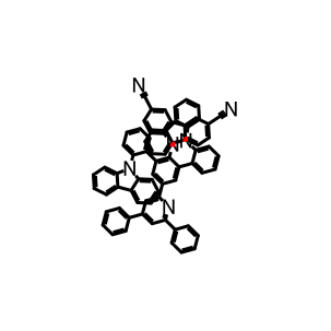 N#Cc1ccc2c(c1)c1cc(C#N)ccc1n2-c1c(-c2ccccc2-n2c3ccccc3c3ccccc32)cc(-c2cc(-c3ccccc3)cc(-c3ccccc3)n2)cc1-c1ccccc1-n1c2ccccc2c2ccccc21